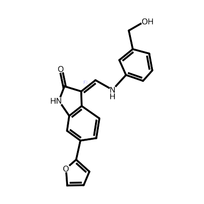 O=C1Nc2cc(-c3ccco3)ccc2/C1=C\Nc1cccc(CO)c1